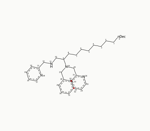 CCCCCCCCCCCCCCCCCCC(CNCc1ccccn1)N(Cc1ccccn1)Cc1ccccn1